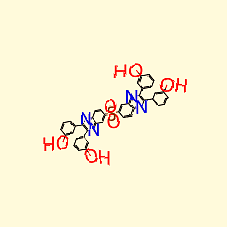 O=S(=O)(c1ccc2nc(-c3cccc(O)c3)c(-c3cccc(O)c3)nc2c1)c1ccc2nc(-c3cccc(O)c3)c(-c3cccc(O)c3)nc2c1